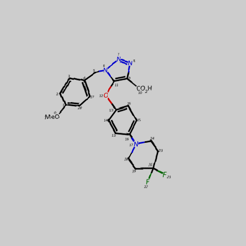 COc1ccc(Cn2nnc(C(=O)O)c2Oc2ccc(N3CCC(F)(F)CC3)cc2)cc1